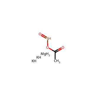 CC(=O)O[SH]=O.[KH].[KH].[MgH2]